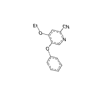 CCOc1cc(C#N)ncc1Oc1ccccc1